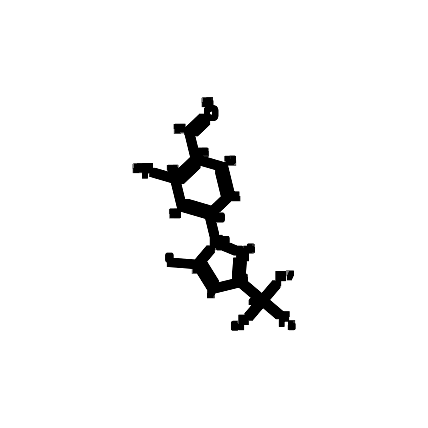 Cc1cc(C(F)(F)F)nn1-c1ccc(C=O)c(F)c1